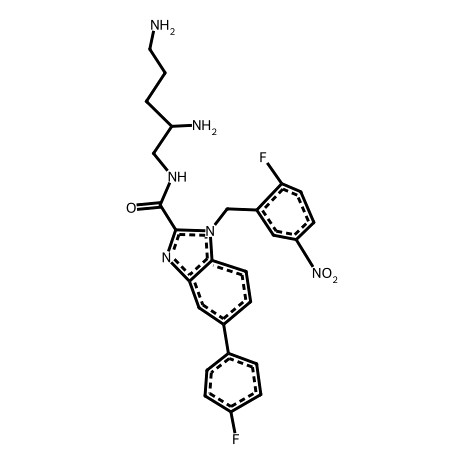 NCCCC(N)CNC(=O)c1nc2cc(-c3ccc(F)cc3)ccc2n1Cc1cc([N+](=O)[O-])ccc1F